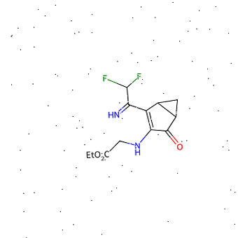 CCOC(=O)CNC1=C(C(=N)C(F)F)C2CC2C1=O